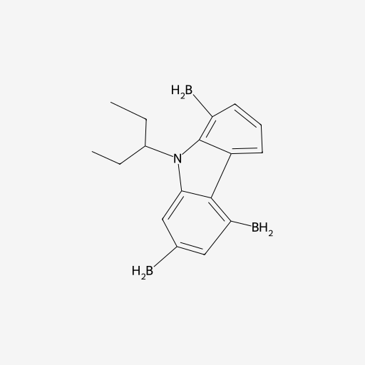 Bc1cc(B)c2c3cccc(B)c3n(C(CC)CC)c2c1